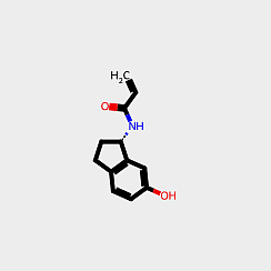 C=CC(=O)N[C@H]1CCc2ccc(O)cc21